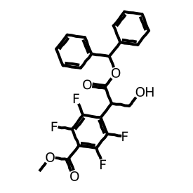 COC(=O)c1c(F)c(F)c(C(CO)C(=O)OC(c2ccccc2)c2ccccc2)c(F)c1F